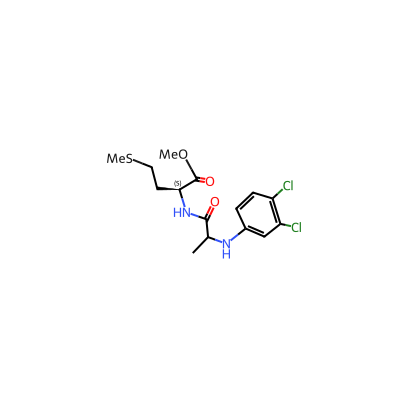 COC(=O)[C@H](CCSC)NC(=O)C(C)Nc1ccc(Cl)c(Cl)c1